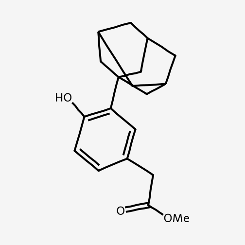 COC(=O)Cc1ccc(O)c(C23CC4CC(CC(C4)C2)C3)c1